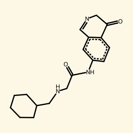 O=C(CNCC1CCCCC1)Nc1ccc2c(c1)C=NCC2=O